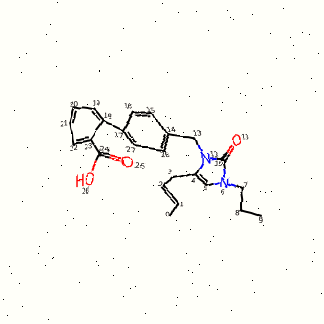 C/C=C/Cc1cn(CCC)c(=O)n1Cc1ccc(-c2ccccc2C(=O)O)cc1